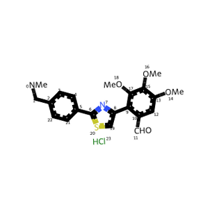 CNCc1ccc(-c2nc(-c3c(C=O)cc(OC)c(OC)c3OC)cs2)cc1.Cl